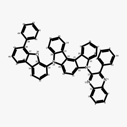 c1ccc(-c2nc3ccccc3nc2-n2c3ccccc3c3c4c5ccccc5n(-c5cccc6c5oc5c(-c7ccccc7)cccc56)c4ccc32)cc1